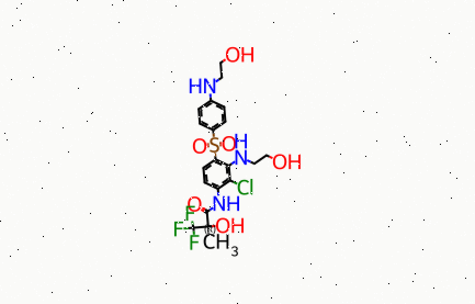 C[C@@](O)(C(=O)Nc1ccc(S(=O)(=O)c2ccc(NCCO)cc2)c(NCCO)c1Cl)C(F)(F)F